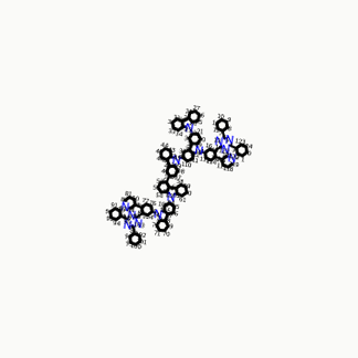 c1ccc(-c2nc(-c3ccccc3)nc(-c3cc(-n4c5ccc(-n6c7ccccc7c7ccccc76)cc5c5cc(-n6c7ccccc7c7cc(-c8cccc9c8c8ccccc8n9-c8ccc9c%10ccccc%10n(-c%10ccc(-c%11cccnc%11)c(-c%11nc(-c%12ccccc%12)nc(-c%12ccccc%12)n%11)c%10)c9c8)ccc76)ccc54)ccc3-c3cccnc3)n2)cc1